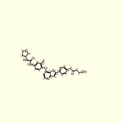 O=C(Nc1ccc(Oc2ccnc3cc(-c4ccc(CNCCO)cn4)sc23)c(F)c1)N[C@H]1CCOC1